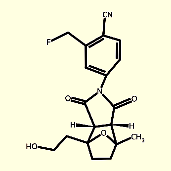 CC12CCC(CCO)(O1)[C@@H]1C(=O)N(c3ccc(C#N)c(CF)c3)C(=O)[C@@H]12